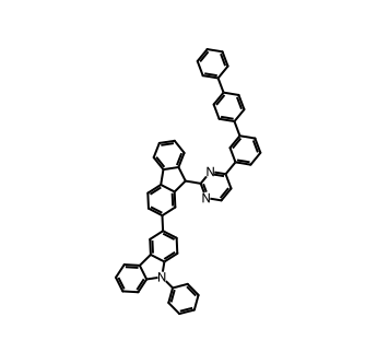 c1ccc(-c2ccc(-c3cccc(-c4ccnc(C5c6ccccc6-c6ccc(-c7ccc8c(c7)c7ccccc7n8-c7ccccc7)cc65)n4)c3)cc2)cc1